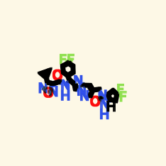 O=C(N[C@H](c1cn2ncc(CN3C(=O)N[C@H]4CC(F)(F)CC43)cc2n1)C1CCC(F)(F)CC1)c1nonc1C1CC1